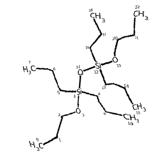 CCCO[Si](CCC)(CCC)O[Si](CCC)(CCC)OCCC